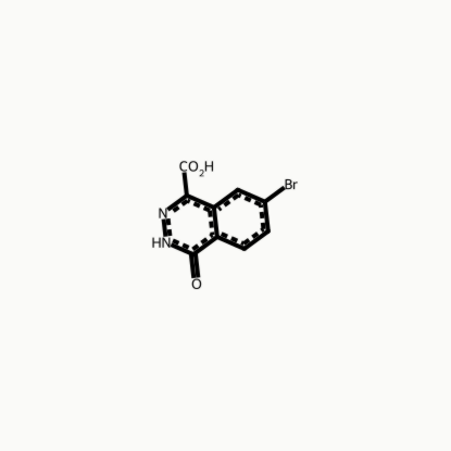 O=C(O)c1n[nH]c(=O)c2ccc(Br)cc12